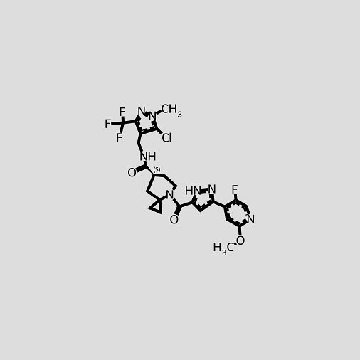 COc1cc(-c2cc(C(=O)N3CC[C@H](C(=O)NCc4c(C(F)(F)F)nn(C)c4Cl)CC34CC4)[nH]n2)c(F)cn1